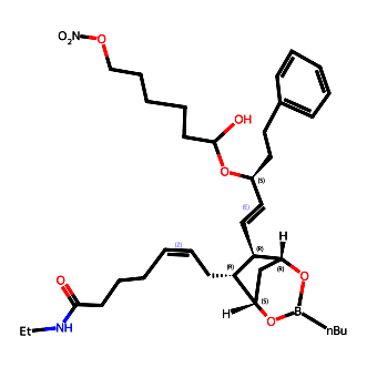 CCCCB1O[C@H]2C[C@@H](O1)[C@H](/C=C/[C@H](CCc1ccccc1)OC(O)CCCCCO[N+](=O)[O-])[C@H]2C/C=C\CCCC(=O)NCC